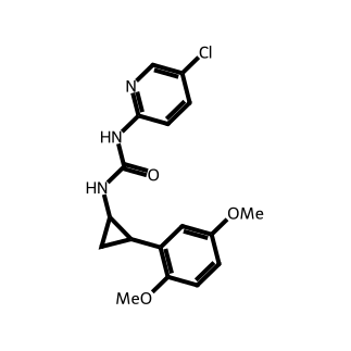 COc1ccc(OC)c(C2CC2NC(=O)Nc2ccc(Cl)cn2)c1